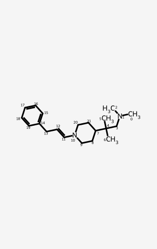 CN(C)CC(C)(C)C1CCN(C=CCc2ccccc2)CC1